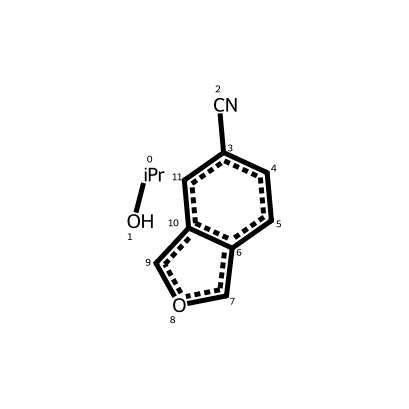 CC(C)O.N#Cc1ccc2cocc2c1